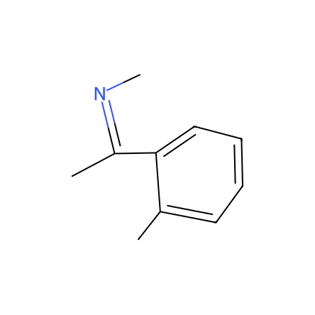 C/N=C(/C)c1ccccc1C